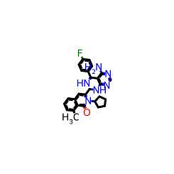 Cc1cccc2cc(CNc3ncnc(N)c3C(=N)c3ccc(F)cc3)n(C3CCCC3)c(=O)c12